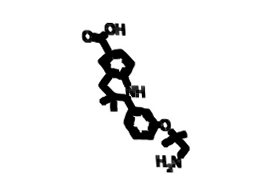 CC(C)(CN)Oc1cccc(C2Nc3ccc(C(=O)O)cc3CC2(C)C)c1